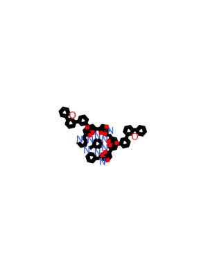 N#Cc1c(-n2c3ccccc3c3ncccc32)c(-n2c3ccccc3c3cc(-c4cccc(-c5cccc6c5oc5ccccc56)c4)ccc32)c(-n2c3ccccc3c3ncccc32)c(-n2c3ccccc3c3cc(-c4cccc(-c5cccc6c5oc5ccccc56)c4)ccc32)c1-n1c2ccccc2c2ncccc21